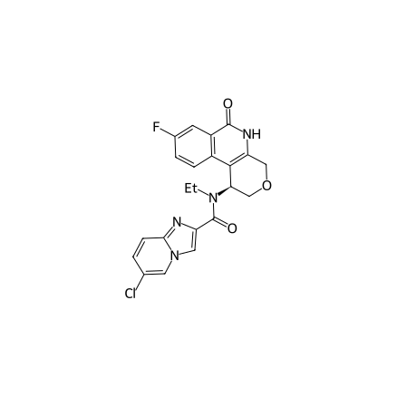 CCN(C(=O)c1cn2cc(Cl)ccc2n1)[C@@H]1COCc2[nH]c(=O)c3cc(F)ccc3c21